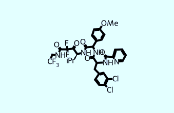 COc1ccc(C(NC(=O)C(Cc2ccc(Cl)c(Cl)c2)NC(=O)c2ccccn2)C(=O)N[C@H](C(=O)C(F)(F)C(=O)NCC(F)(F)F)C(C)C)cc1